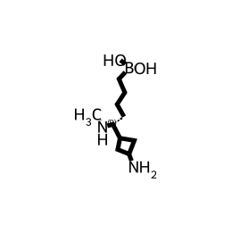 CN[C@H](CCCCB(O)O)C1CC(N)C1